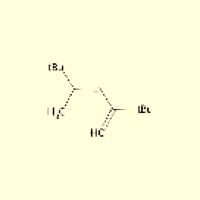 [CH]=C(C=C(C)C(C)(C)C)C(C)(C)C